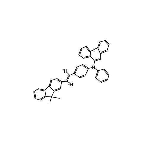 [2H]/C(=C(/[2H])c1ccc2c(c1)C(C)(C)c1ccccc1-2)c1ccc(N(c2ccccc2)c2cc3ccccc3c3ccccc23)cc1